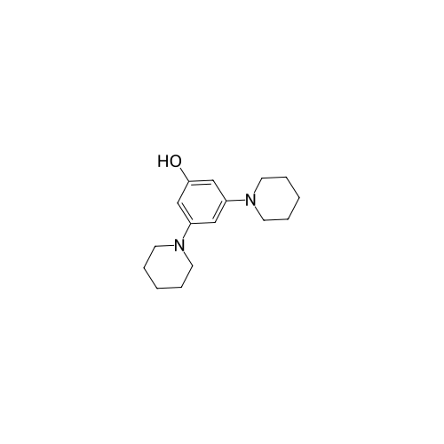 Oc1cc(N2CCCCC2)cc(N2CCCCC2)c1